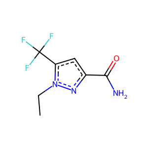 CCn1nc(C(N)=O)cc1C(F)(F)F